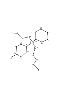 CCCCO[Si](OCCC)(C1CCCCC1)C1CCC(C)CC1